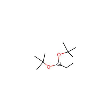 CC[Si](OC(C)(C)C)OC(C)(C)C